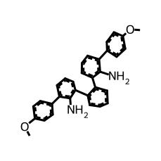 COc1ccc(-c2cccc(-c3ccccc3-c3cccc(-c4ccc(OC)cc4)c3N)c2N)cc1